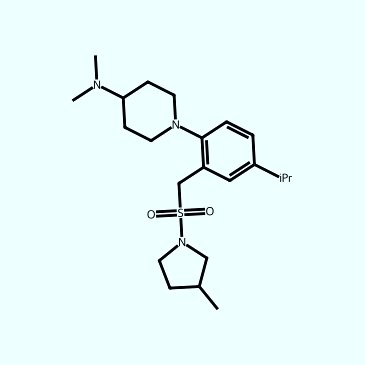 CC1CCN(S(=O)(=O)Cc2cc(C(C)C)ccc2N2CCC(N(C)C)CC2)C1